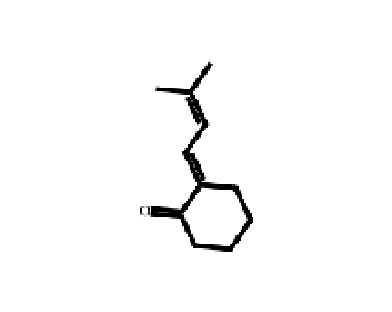 CC(C)=CC=C1CCCCC1=O